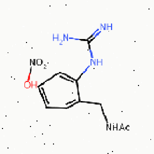 CC(=O)NCc1ccccc1NC(=N)N.O=[N+]([O-])O